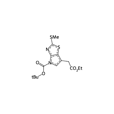 CCOC(=O)Cc1cn(C(=O)OC(C)(C)C)c2nc(SC)sc12